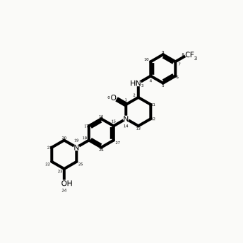 O=C1C(Nc2ccc(C(F)(F)F)cc2)CCCN1c1ccc(N2CCCC(O)C2)cc1